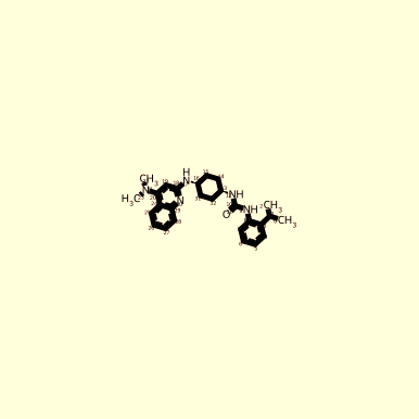 CC(C)c1ccccc1NC(=O)N[C@H]1CC[C@@H](Nc2cc(N(C)C)c3ccccc3n2)CC1